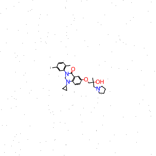 [CH]c1ccc(C)c(N2CN(C3CC3)c3ccc(OCC(C)(O)CN4CCCC4)cc3C2=O)c1